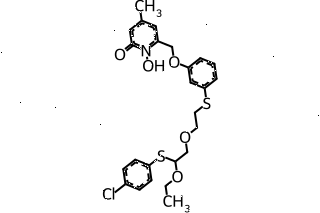 CCOC(COCCSc1cccc(OCc2cc(C)cc(=O)n2O)c1)Sc1ccc(Cl)cc1